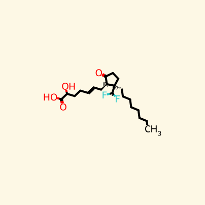 CCCCCCCC[C@@]1([C](F)F)CCC(=O)[C@@H]1CC=CCCC(O)C(=O)O